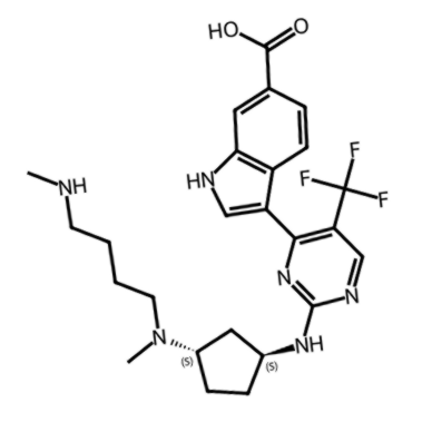 CNCCCCN(C)[C@H]1CC[C@H](Nc2ncc(C(F)(F)F)c(-c3c[nH]c4cc(C(=O)O)ccc34)n2)C1